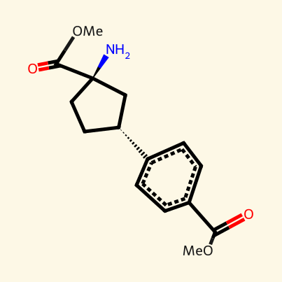 COC(=O)c1ccc([C@@H]2CC[C@](N)(C(=O)OC)C2)cc1